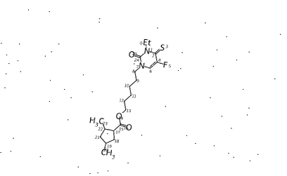 CCn1c(=S)c(F)cn(CCCCCCOC(=O)C2CC(C)CC2C)c1=O